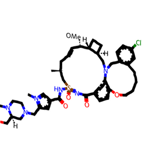 CO[C@H]1/C=C/C[C@H](C)CS(=O)(NC(=O)c2cc(CN3CCN4CCOC[C@@H]4C3)n(C)c2)=NC(=O)c2ccc3c(c2)N(Cc2ccc(Cl)cc2CCCCO3)C[C@@H]2CC[C@H]21